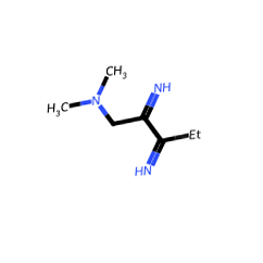 CCC(=N)C(=N)CN(C)C